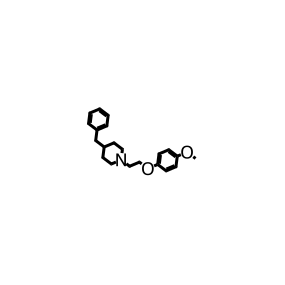 COc1ccc(OCCN2CCC(Cc3ccccc3)CC2)cc1